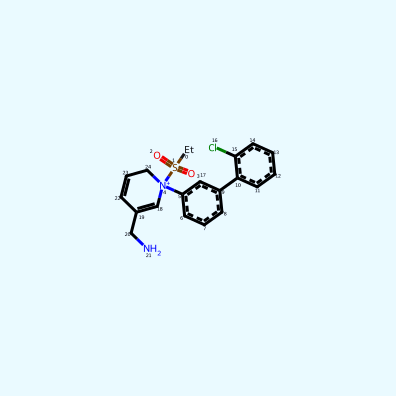 CCS(=O)(=O)[N+]1(c2cccc(-c3ccccc3Cl)c2)C=C(CN)C=CC1